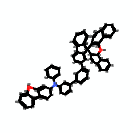 c1ccc(N(c2cccc(-c3cccc(-c4ccc5c(c4)C4(c6ccccc6-5)c5ccc6ccccc6c5Oc5c4ccc4ccccc54)c3)c2)c2ccc3c(c2)oc2ccccc23)cc1